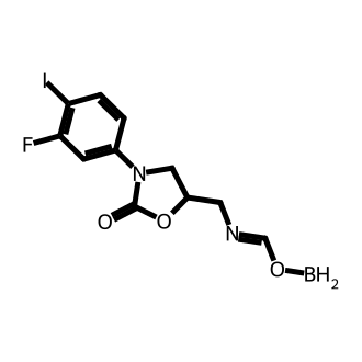 BOC=NCC1CN(c2ccc(I)c(F)c2)C(=O)O1